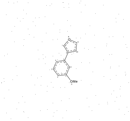 COc1cccc(-c2[c]occ2)c1